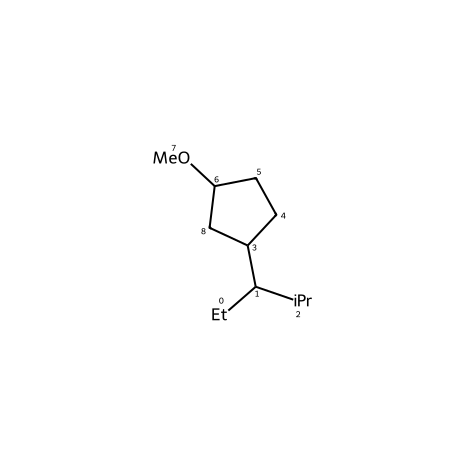 CCC(C(C)C)C1CCC(OC)C1